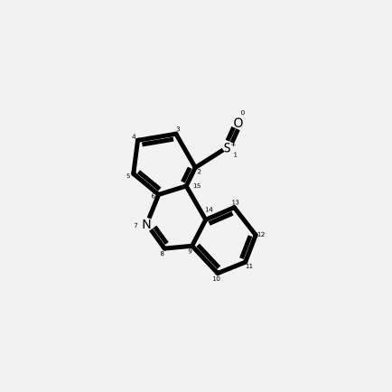 O=[S+]c1cccc2ncc3ccccc3c12